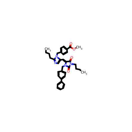 CCCCc1ncc(/C=C2/C(=O)N(CCCC)C(=O)N2Cc2ccc(-c3ccccc3)cc2)n1Cc1ccc(C(=O)OC)cc1